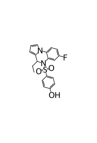 CCC1c2cccn2-c2ccc(F)cc2N1S(=O)(=O)c1ccc(O)cc1